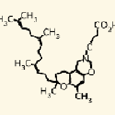 CC(C)=CCCC(C)=CCCC(C)=CCCC1(C)CCc2c3c(cc(C)c2O1)OCN(CCCCC(=O)O)C3